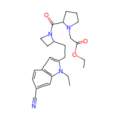 CCOC(=O)CN1CCCC1C(=O)N1CCC1CCc1cc2ccc(C#N)cc2n1CC